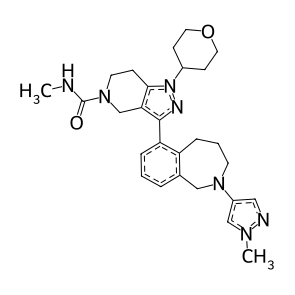 CNC(=O)N1CCc2c(c(-c3cccc4c3CCCN(c3cnn(C)c3)C4)nn2C2CCOCC2)C1